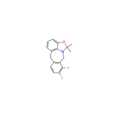 CC1(C)Oc2cccc3c2N1Cc1c(ccc(F)c1F)C3